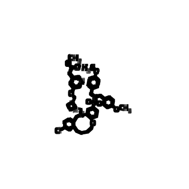 COC(=O)Cc1cncc(OC[C@@H]2CC[C@H]2CN2Cc3ccc(Cl)cc3CCCCOc3ccc(S(=O)(=O)N(Cc4ccc(OC)cc4)Cc4ccc(OC)cc4)cc32)c1